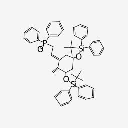 C=C1C(=CCP(=O)(c2ccccc2)c2ccccc2)CC(O[Si](c2ccccc2)(c2ccccc2)C(C)(C)C)CC1O[Si](c1ccccc1)(c1ccccc1)C(C)(C)C